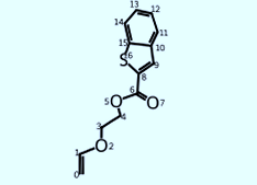 C=COCCOC(=O)c1cc2ccccc2s1